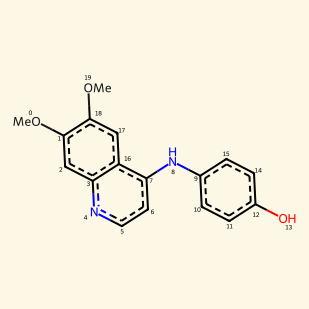 COc1cc2nccc(Nc3ccc(O)cc3)c2cc1OC